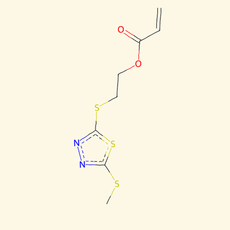 C=CC(=O)OCCSc1nnc(SC)s1